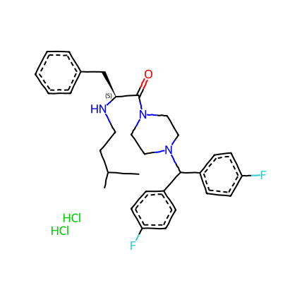 CC(C)CCN[C@@H](Cc1ccccc1)C(=O)N1CCN(C(c2ccc(F)cc2)c2ccc(F)cc2)CC1.Cl.Cl